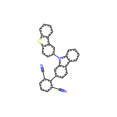 N#Cc1cccc(C#N)c1-c1ccc2c3ccccc3n(-c3ccc4sc5ccccc5c4c3)c2c1